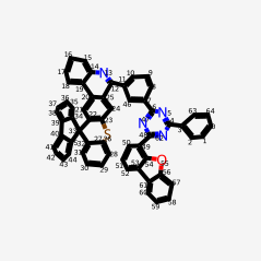 c1ccc(-c2nc(-c3cccc(-c4nc5ccccc5c5cc6c(cc45)Sc4ccccc4C64c5ccccc5-c5ccccc54)c3)nc(-c3cccc4c3oc3ccccc34)n2)cc1